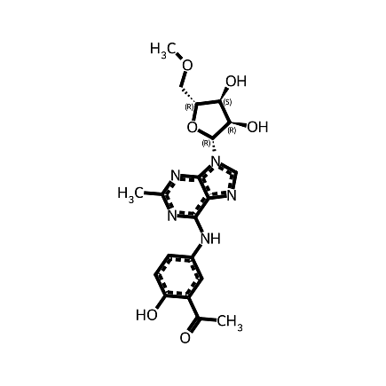 COC[C@H]1O[C@@H](n2cnc3c(Nc4ccc(O)c(C(C)=O)c4)nc(C)nc32)[C@H](O)[C@@H]1O